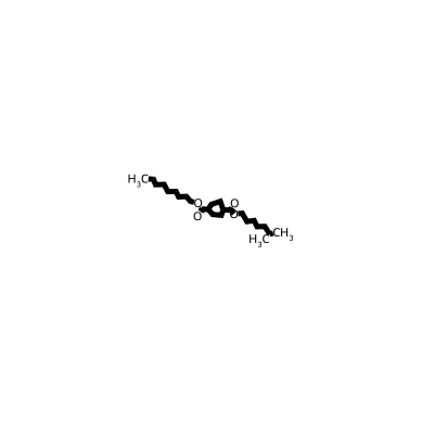 CCCCCCCCCOC(=O)C1CCC(C(=O)OCCCCCC(C)C)CC1